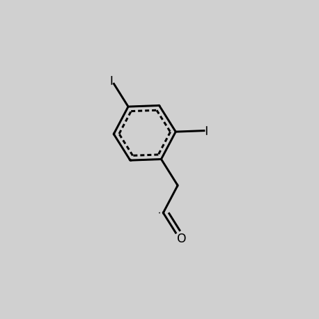 O=[C]Cc1ccc(I)cc1I